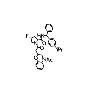 CC(=O)N1CC(CC(=O)N2C[C@H](F)C[C@H]2C(=O)N[C@@H](c2ccccc2)c2ccc(C(C)C)cc2)OC2=CC=CCC21